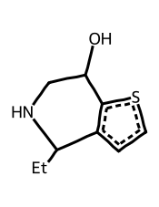 CCC1NCC(O)c2sccc21